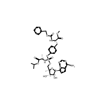 COC(=O)[C@H](Cc1ccc(OP(=O)(N[C@@H](C)C(=O)OC(C)C)OC[C@@]2(C)O[C@@H](c3ccc4c(N)ncnn34)[C@H](O)[C@@H]2O)cc1)NC(=O)OCc1ccccc1